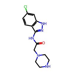 O=C(CN1CCNCC1)Nc1n[nH]c2cc(Cl)ccc12